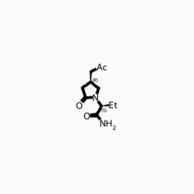 CC[C@@H](C(N)=O)N1C[C@H](CC(C)=O)CC1=O